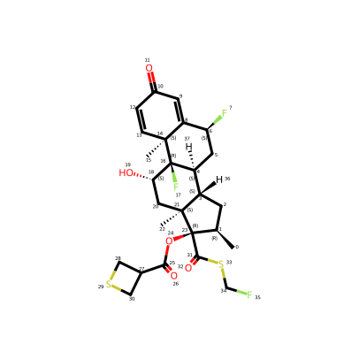 C[C@@H]1C[C@H]2[C@@H]3C[C@H](F)C4=CC(=O)C=C[C@]4(C)[C@@]3(F)[C@@H](O)C[C@]2(C)[C@@]1(OC(=O)C1CSC1)C(=O)SCF